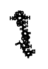 CC/C(=N/OCc1cccc(Cl)c1)[C@H]1O[C@@H](Oc2ccc(/C=C(\C)C(=O)N[C@@H]3[C@H](O)[C@@H](O)[C@H]4OCO[C@H]4[C@@H]3O)cc2O)C[C@@H]1O